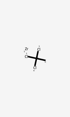 CC(Cl)(Cl)Cl.[Zr]